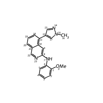 COc1c[c]ccc1Nc1cc2c(-c3cnn(C)c3)cccc2cn1